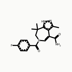 Cc1n[nH]c2c1C(C(N)=O)=CN(C(=O)c1ccc(F)cc1)CC2(C)C